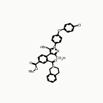 CCCCc1c(-c2ccc(C(=O)OC(C)(C)C)cc2C(=O)N2CCc3ccccc3C2)c(C(=O)O)nn1-c1ccc(Oc2ccc(Cl)cc2)cc1